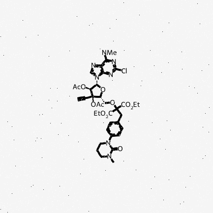 C#C[C@@]1(OC(C)=O)[C@@H](COC(Cc2ccc(N3CCCN(C)C3=O)cc2)(C(=O)OCC)C(=O)OCC)O[C@@H](n2cnc3c(NC)nc(Cl)nc32)[C@@H]1OC(C)=O